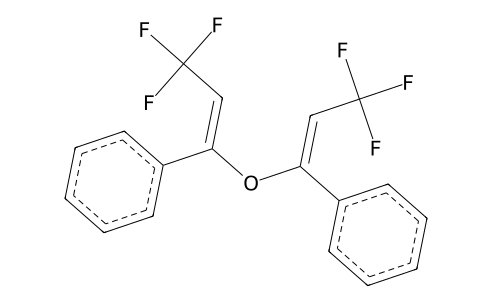 FC(F)(F)C=C(OC(=CC(F)(F)F)c1ccccc1)c1ccccc1